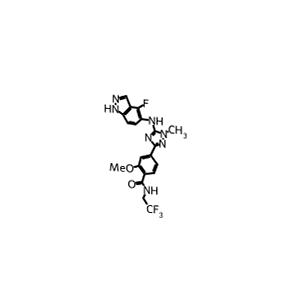 COc1cc(-c2nc(Nc3ccc4[nH]ncc4c3F)n(C)n2)ccc1C(=O)NCC(F)(F)F